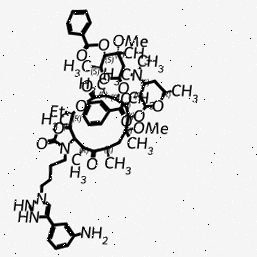 CC[C@H]1OC(=O)[C@H](C)[C@@H](OC2C[C@@](C)(OC)[C@@H](OC(=O)c3ccccc3)[C@H](C)O2)[C@H](C)[C@@H](OC2O[C@H](C)C[C@H](N(C)C)[C@H]2OC(=O)c2ccccc2)[C@@](C)(OC)C[C@@H](C)C(=O)[C@H](C)C2N(CCCCN3C=C(c4cccc(N)c4)NN3)C(=O)O[C@@]21C